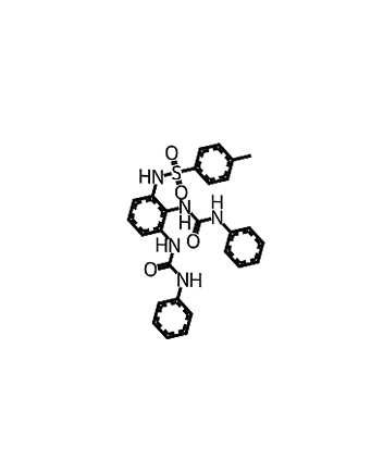 Cc1ccc(S(=O)(=O)Nc2cccc(NC(=O)Nc3ccccc3)c2NC(=O)Nc2ccccc2)cc1